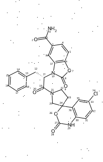 NC(=O)c1ccc2oc(=O)n([C@@H](Cc3ccccc3)C(=O)N3CCC4(C3)OC(=O)Nc3ccc(Cl)cc34)c2c1